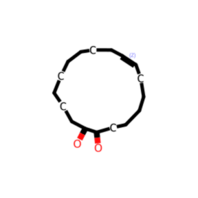 O=C1CCCCC/C=C\CCCCCCCCC1=O